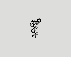 CCN(CC)C(=O)C1CCCN(C(=O)c2cnn3c2NC(c2ccccc2)CC3(C)C)C1